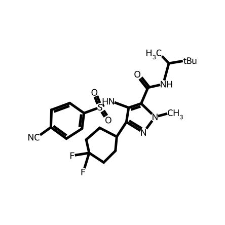 CC(NC(=O)c1c(NS(=O)(=O)c2ccc(C#N)cc2)c(C2CCC(F)(F)CC2)nn1C)C(C)(C)C